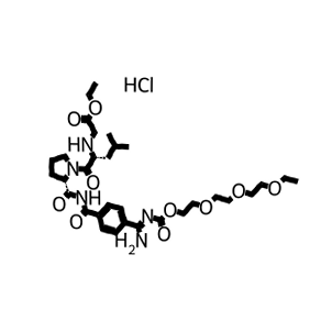 CCOCCOCCOCCOC(=O)N=C(N)c1ccc(C(=O)NC(=O)[C@@H]2CCCN2C(=O)[C@@H](CC(C)C)NCC(=O)OCC)cc1.Cl